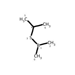 CB(C)SC(C)C